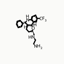 NCCNC[C@H]1CC[C@@H]2[C@H](O1)c1cc(C(F)(F)F)ccc1N[C@H]2c1ccccc1